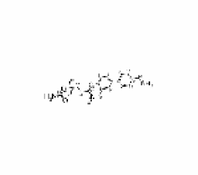 CN(Cc1cccc(-c2ccc(CN)cc2)c1)C(=O)CCC(C)(C)OC(N)=O